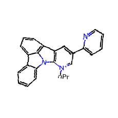 CCC[n+]1cc(-c2ccccn2)cc2c3cccc4c5ccccc5n(c43)c21